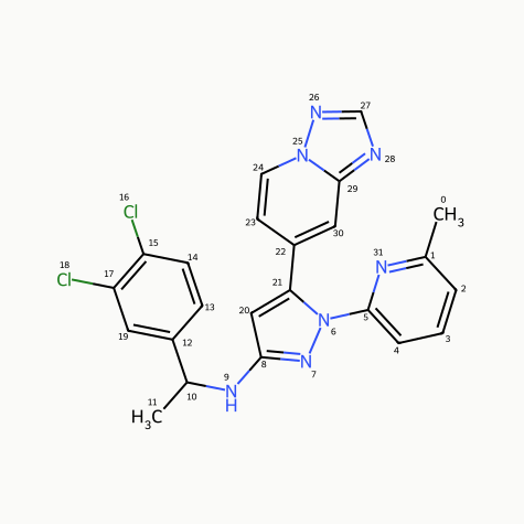 Cc1cccc(-n2nc(NC(C)c3ccc(Cl)c(Cl)c3)cc2-c2ccn3ncnc3c2)n1